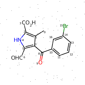 Cc1c(C(=O)O)[nH]c(C=O)c1C(=O)c1cccc(Br)c1